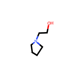 OCCN1C[CH]CC1